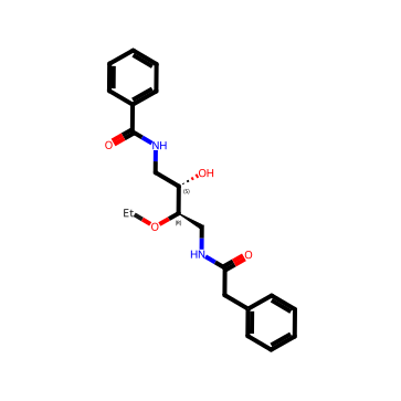 CCO[C@H](CNC(=O)Cc1ccccc1)[C@@H](O)CNC(=O)c1ccccc1